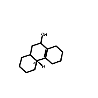 OC1CC2CCCC[C@H]2C2=C1CCCC2